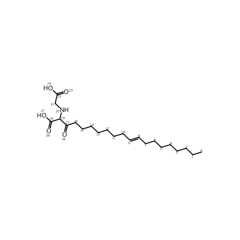 CCCCCCCCC=CCCCCCCCC(=O)C(NCC(=O)O)C(=O)O